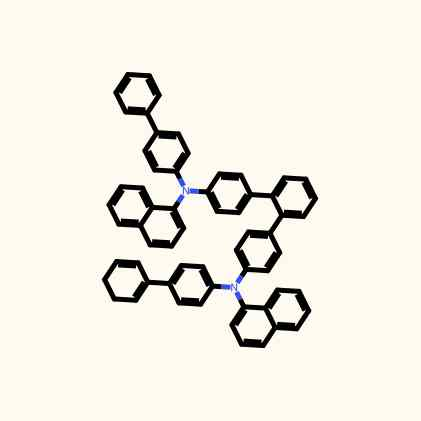 C1=CC(c2ccc(N(c3ccc(-c4ccccc4-c4ccc(N(c5ccc(-c6ccccc6)cc5)c5cccc6ccccc56)cc4)cc3)c3cccc4ccccc34)cc2)=CCC1